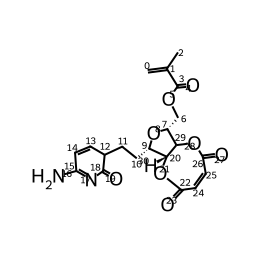 C=C(C)C(=O)OC[C@H]1O[C@@H](CCC2C=CC(N)=NC2=O)[C@H]2OC(=O)/C=C\C(=O)OC12